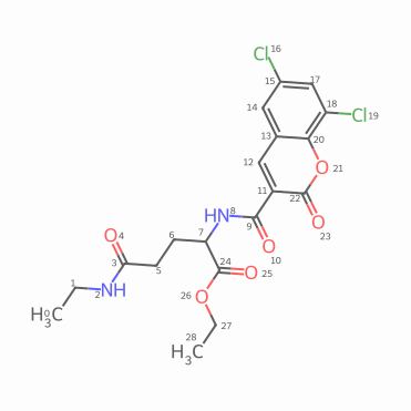 CCNC(=O)CCC(NC(=O)c1cc2cc(Cl)cc(Cl)c2oc1=O)C(=O)OCC